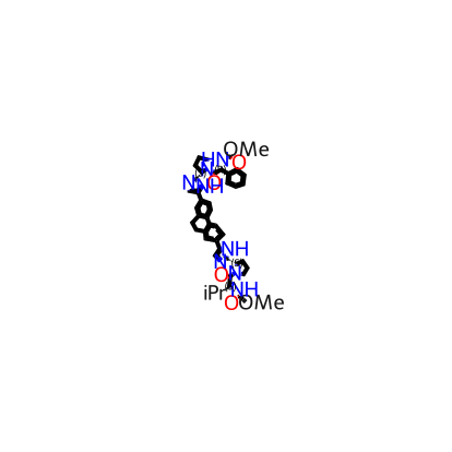 COC(=O)N[C@H](C(=O)N1CCC[C@H]1c1ncc(-c2ccc3c(c2)CCc2cc(-c4cnc([C@@H]5CCCN5C(=O)[C@H](NC(=O)OC)c5ccccc5)[nH]4)ccc2-3)[nH]1)C(C)C